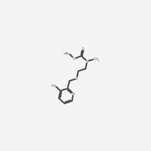 CCCCOC(=O)N(C)CCSCc1ncccc1S